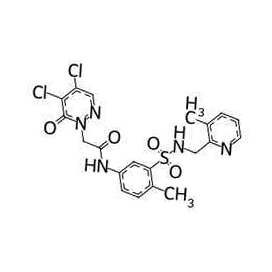 Cc1ccc(NC(=O)Cn2ncc(Cl)c(Cl)c2=O)cc1S(=O)(=O)NCc1ncccc1C